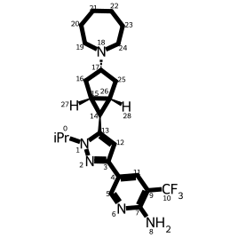 CC(C)n1nc(-c2cnc(N)c(C(F)(F)F)c2)cc1[C@H]1[C@@H]2C[C@H](N3CCCCCC3)C[C@@H]21